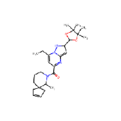 CCC1=CC(C(=O)N2CCCC3(CC=CC3)C2C)=NC2=CC(C3OC(C)(C)C(C)(C)O3)NN12